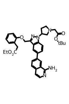 CCOC(=O)Cc1ccccc1OCc1nn(C2CCN(CC(=O)OC(C)(C)C)C2)c2ccc(-c3ccc4ccnc(N)c4c3)cc12